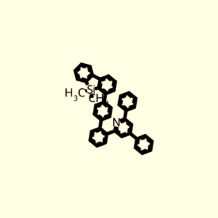 C[Si]1(C)c2ccccc2-c2cccc(-c3ccc(-c4ccccc4-c4cc(-c5ccccc5)cc(-c5ccccc5)n4)cc3)c21